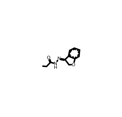 CCC(=O)N/N=C1\COc2ccccc21